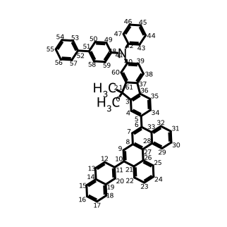 CC1(C)c2cc(-c3cc4cc(-c5ccc6ccccc6c5)c5ccccc5c4c4ccccc34)ccc2-c2ccc(N(c3ccccc3)c3ccc(-c4ccccc4)cc3)cc21